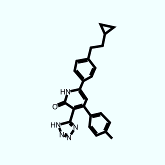 Cc1ccc(-c2cc(-c3ccc(CCC4CC4)cc3)[nH]c(=O)c2-c2nnn[nH]2)cc1